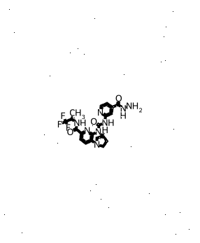 C[C@@H](NC(=O)c1ccc2c(n1)N(C(=O)Nc1cc(C(=O)NN)ccn1)[C@H]1CCN2C1)C(F)(F)F